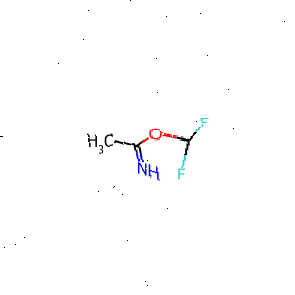 CC(=N)OC(F)F